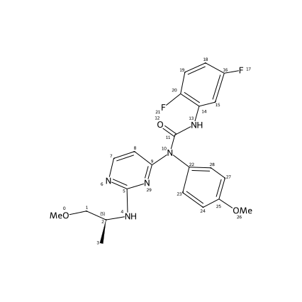 COC[C@H](C)Nc1nccc(N(C(=O)Nc2cc(F)ccc2F)c2ccc(OC)cc2)n1